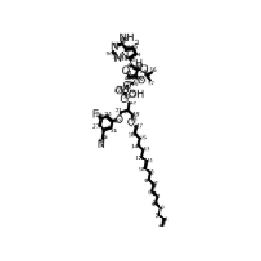 CCCCCCCCCCCCCCCCCCOCC(COc1cc(F)cc(C#N)c1)COP(=O)(O)OC[C@]12CO[C@@H](c3ccc4c(N)ncnn34)[C@@H]1OC(C)(C)O2